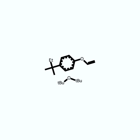 C=COc1ccc(C(C)(C)CC)cc1.CC(C)(C)OC(C)(C)C